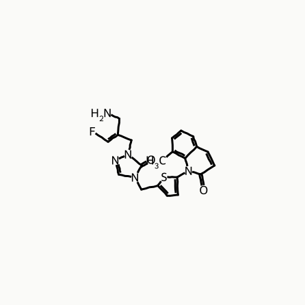 Cc1cccc2ccc(=O)n(-c3ccc(Cn4cnn(C/C(=C/F)CN)c4=O)s3)c12